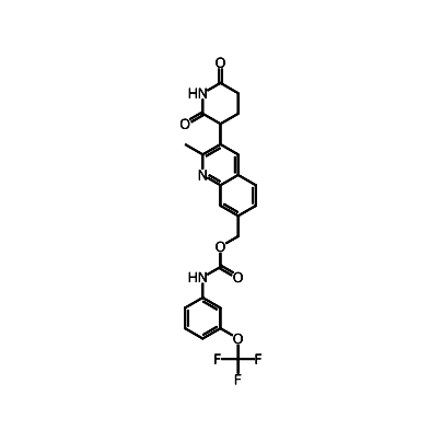 Cc1nc2cc(COC(=O)Nc3cccc(OC(F)(F)F)c3)ccc2cc1C1CCC(=O)NC1=O